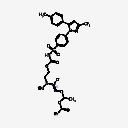 Cc1ccc(-c2cc(C(F)(F)F)nn2-c2ccc(S(=O)(=O)NC(=O)OCCN(/[N+]([O-])=N/OC(C)OC(=O)C(C)C)C(C)(C)C)cc2)cc1